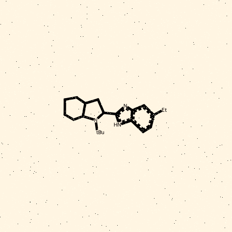 CCc1ccc2[nH]c(C3CC4CCCCC4N3C(C)(C)C)nc2c1